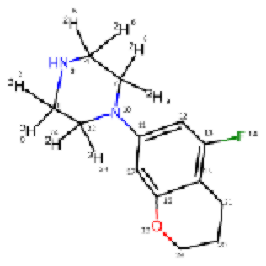 [2H]C1([2H])NC([2H])([2H])C([2H])([2H])N(c2cc(F)c3c(c2)OCCC3)C1([2H])[2H]